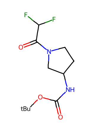 CC(C)(C)OC(=O)NC1CCN(C(=O)C(F)F)C1